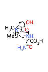 CO[C@@]12CC[C@@H](N[C@@H](CC(N)=O)C(=O)O)[C@@H]3Oc4c(O)ccc5c4[C@@]31CCN(C)[C@@H]2C5